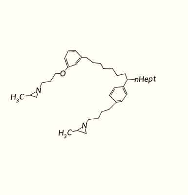 CCCCCCCC(CCCCCCCc1cccc(OCCCN2CC2C)c1)c1ccc(CCCCN2CC2C)cc1